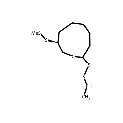 CPSSC1CCCCC[C@H](SSC)CC1